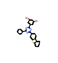 Brc1cc(Br)cc(-c2nc(-c3ccccc3)nc(-c3ccc4c(c3)sc3ccccc34)n2)c1